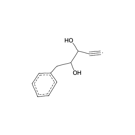 [C]#CC(O)C(O)Cc1ccccc1